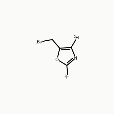 [2H]c1nc([2H])c(CC(C)(C)C)o1